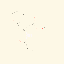 CCOC(=O)c1c(NC(=O)C2CC2)sc2c1CCCO2